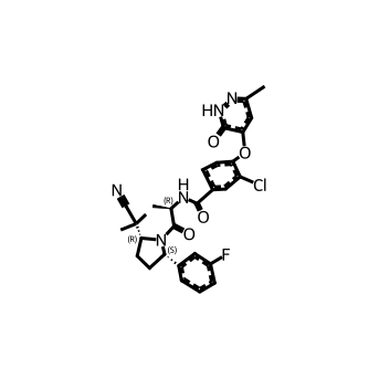 Cc1cc(Oc2ccc(C(=O)N[C@H](C)C(=O)N3[C@H](c4cccc(F)c4)CC[C@@H]3C(C)(C)C#N)cc2Cl)c(=O)[nH]n1